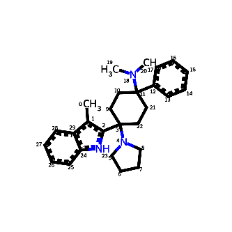 Cc1c(C2(N3CCCC3)CCC(c3ccccc3)(N(C)C)CC2)[nH]c2ccccc12